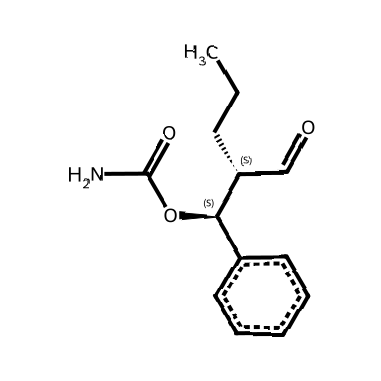 CCC[C@H](C=O)[C@H](OC(N)=O)c1ccccc1